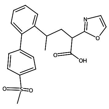 CC(CC(C(=O)O)c1ncco1)c1ccccc1-c1ccc(S(C)(=O)=O)cc1